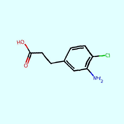 Nc1cc(CCC(=O)O)ccc1Cl